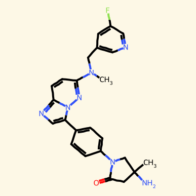 CN(Cc1cncc(F)c1)c1ccc2ncc(-c3ccc(N4CC(C)(N)CC4=O)cc3)n2n1